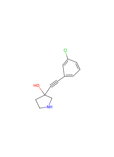 OC1(C#Cc2cccc(Cl)c2)CCNC1